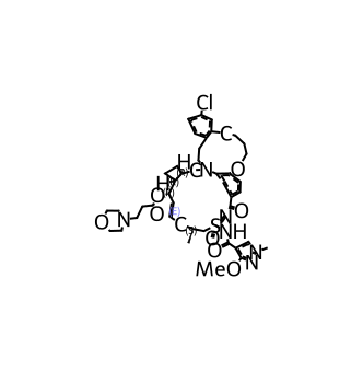 COc1nn(C)cc1C(=O)NS1(=O)=NC(=O)c2ccc3c(c2)N(CCc2ccc(Cl)cc2CCCCO3)C[C@@H]2CC[C@H]2[C@@H](OC(=O)CCN2CCOCC2)/C=C/C[C@H](C)C1